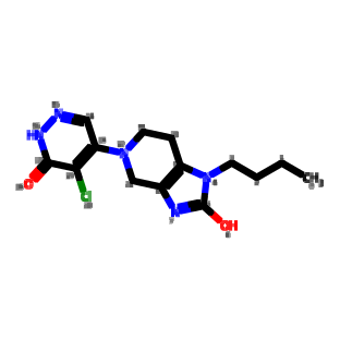 CCCCn1c(O)nc2c1CCN(c1cn[nH]c(=O)c1Cl)C2